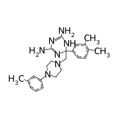 Cc1cccc(N2CCN(CC3(c4ccc(C)c(C)c4)N=C(N)N=C(N)N3)CC2)c1